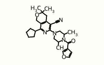 CC1CN(c2nc(C3CCCC3)c3c(c2C#N)CC(C)(C)OC3)CC(C)N1C(=O)c1ccoc1